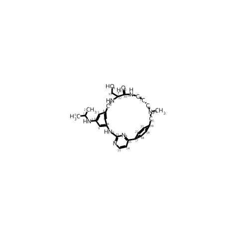 CC(C)Nc1cc2cc(c1)Nc1nccc(n1)-c1ccc(cc1)CN(C)CCCNC(=O)[C@H](CO)NC2